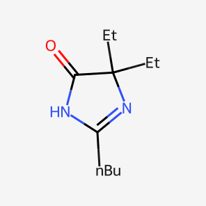 CCCCC1=NC(CC)(CC)C(=O)N1